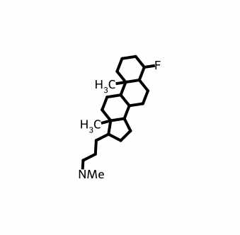 CNCCCC1CCC2C3CCC4C(F)CCCC4(C)C3CCC12C